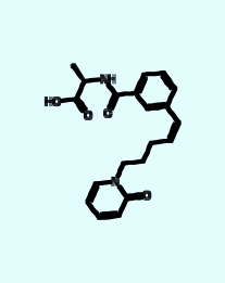 C[C@@H](NC(=O)c1cccc(/C=C\CCCn2ccccc2=O)c1)C(=O)O